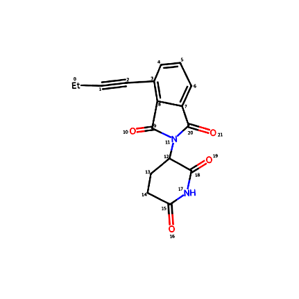 CCC#Cc1cccc2c1C(=O)N(C1CCC(=O)NC1=O)C2=O